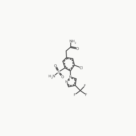 NC(=O)Cc1cc(Cl)c(-n2cc(C(F)(F)F)cn2)c(S(N)(=O)=O)c1